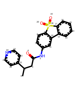 CC(CC(=O)Nc1ccc2c(c1)-c1ccccc1S2(=O)=O)c1ccncc1